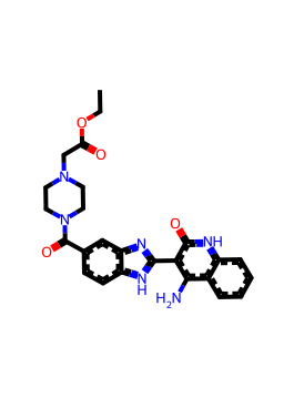 CCOC(=O)CN1CCN(C(=O)c2ccc3[nH]c(-c4c(N)c5ccccc5[nH]c4=O)nc3c2)CC1